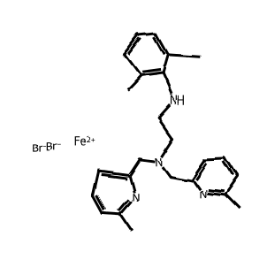 Cc1cccc(CN(CCNc2c(C)cccc2C)Cc2cccc(C)n2)n1.[Br-].[Br-].[Fe+2]